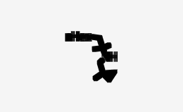 CCCCCCCC(C)(C)NCC1(C)CC1